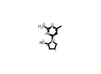 Cc1cc(N2CCCC2C#N)nc(N)n1